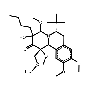 CCCCC1(O)C(=O)C(CO[SiH3])(OC)C2c3cc(OC)c(OC)cc3C[C@@H](C(C)(C)C)N2C1OC